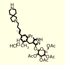 CC(=O)OC[C@H]1O[C@@H](Oc2n[nH]c(C(C)C)c2Cc2ccc(/C=C/CCN3CCC4(CCNCC4)C3)cc2C)[C@H](OC(C)=O)[C@@H](OC(C)=O)[C@@H]1OC(C)=O.Cl.Cl